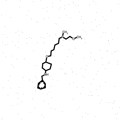 COCCN(C)CCCCCCOC1CCC(NCc2ccccc2)CC1